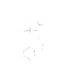 Cc1ccc(S(=O)(=O)OCC(C(=O)OC(C)(C)C)C(C)(N)C(=O)O)cc1